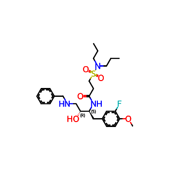 CCCN(CCC)S(=O)(=O)CCC(=O)N[C@@H](Cc1ccc(OC)c(F)c1)[C@H](O)CNCc1ccccc1